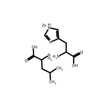 CC(C)CC(N)C(=O)O.NC(Cc1c[nH]cn1)C(=O)O.[Zn]